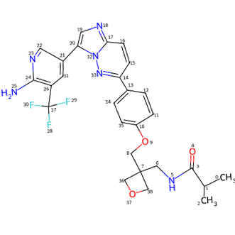 CC(C)C(=O)NCC1(COc2ccc(-c3ccc4ncc(-c5cnc(N)c(C(F)(F)F)c5)n4n3)cc2)COC1